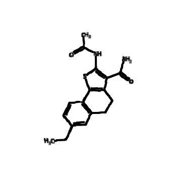 CCc1ccc2c(c1)CCc1c-2sc(NC(C)=O)c1C(N)=O